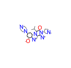 C=Nc1c(/C=N\c2ccc(N3CCN(C)CC3)cc2OC)nc(C(C)C)c(=O)n1[C@H]1CCN(C)C1